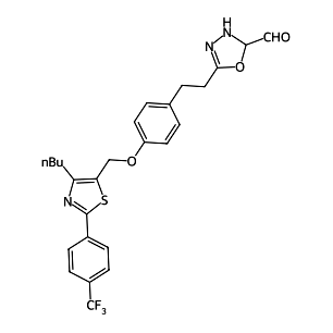 CCCCc1nc(-c2ccc(C(F)(F)F)cc2)sc1COc1ccc(CCC2=NNC(C=O)O2)cc1